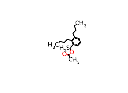 CCCCc1cccc([SiH2]OC(C)=O)c1CCCC